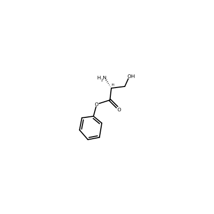 N[C@H](CO)C(=O)Oc1ccccc1